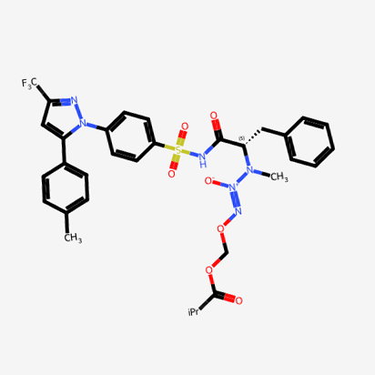 Cc1ccc(-c2cc(C(F)(F)F)nn2-c2ccc(S(=O)(=O)NC(=O)[C@H](Cc3ccccc3)N(C)[N+]([O-])=NOCOC(=O)C(C)C)cc2)cc1